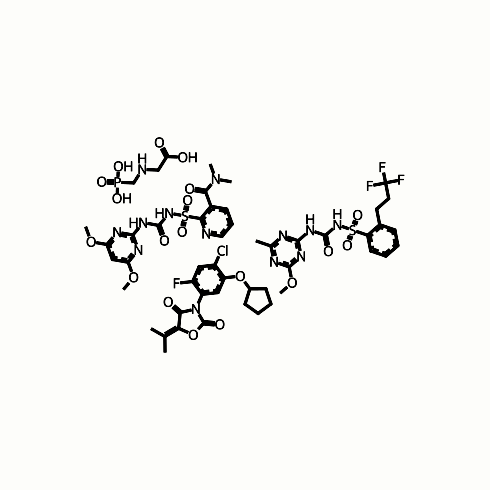 CC(C)=C1OC(=O)N(c2cc(OC3CCCC3)c(Cl)cc2F)C1=O.COc1cc(OC)nc(NC(=O)NS(=O)(=O)c2ncccc2C(=O)N(C)C)n1.COc1nc(C)nc(NC(=O)NS(=O)(=O)c2ccccc2CCC(F)(F)F)n1.O=C(O)CNCP(=O)(O)O